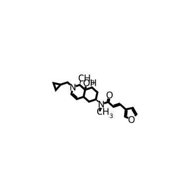 C[C@H]1N(CC2CC2)C=CC2C[C@H](N(C)C(=O)/C=C/c3ccoc3)CCC21O